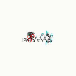 CC(C)O[Si](CCCCCc1c(F)c(F)c(F)c(F)c1F)(OC(C)C)OC(C)C